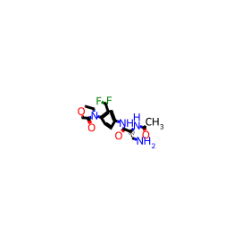 CC(=O)N[C@H](CN)C(=O)Nc1ccc(N2CCOCC2=O)c(C(F)F)c1